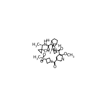 COc1ncc(C(=O)N2CC(S(C)(=O)=O)C2)cc1C(=O)N[C@H]1C(C(=O)N[C@H](C)C2(C)CC2)[C@H]2CC[C@@H]1/C2=C\C1CC1